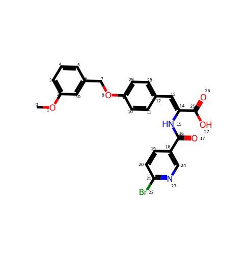 COc1cccc(COc2ccc(C=C(NC(=O)c3ccc(Br)nc3)C(=O)O)cc2)c1